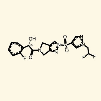 O=C([C@@H](O)c1ccccc1F)N1Cc2cn(S(=O)(=O)c3cnn(CC(F)F)c3)nc2C1